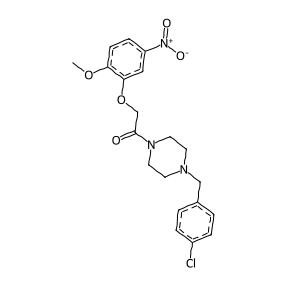 COc1ccc([N+](=O)[O-])cc1OCC(=O)N1CCN(Cc2ccc(Cl)cc2)CC1